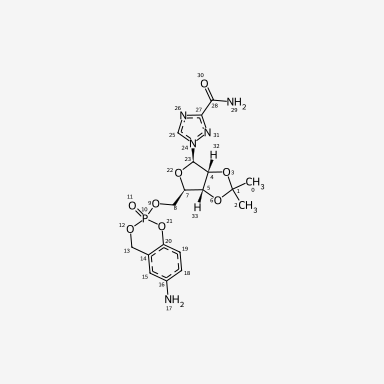 CC1(C)O[C@@H]2[C@H](O1)[C@@H](COP1(=O)OCc3cc(N)ccc3O1)O[C@H]2n1cnc(C(N)=O)n1